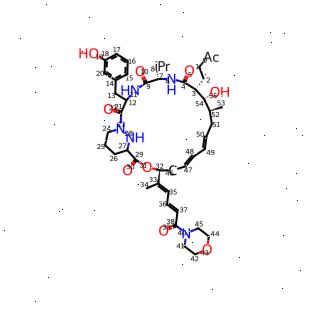 CC(=O)CC[C@H]1C(=O)N[C@@H](C(C)C)C(=O)NC(Cc2cccc(O)c2)C(=O)N2CCCC(N2)C(=O)O[C@H](/C(C)=C/C=C/C(=O)N2CCOCC2)C/C=C/C=C/C[C@H](C)[C@H]1O